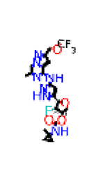 Cc1cn2nc(COC(F)(F)F)cc2c(Nc2cc([C@H]3OC[C@@H](OC(=O)NC4(C)CC4)[C@H]3F)[nH]n2)n1